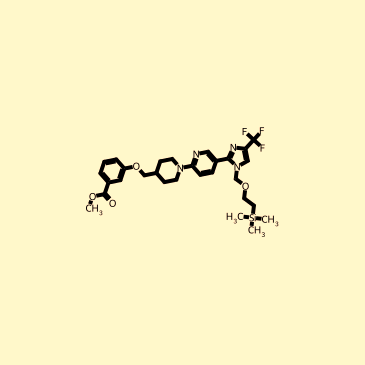 COC(=O)c1cccc(OCC2CCN(c3ccc(-c4nc(C(F)(F)F)cn4COCC[Si](C)(C)C)cn3)CC2)c1